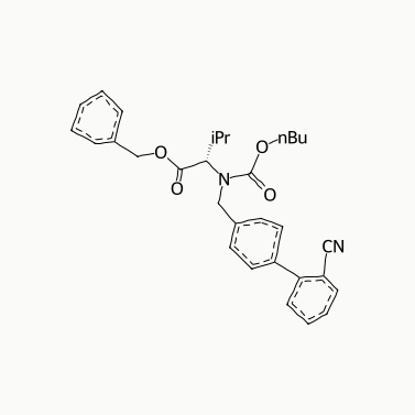 CCCCOC(=O)N(Cc1ccc(-c2ccccc2C#N)cc1)[C@H](C(=O)OCc1ccccc1)C(C)C